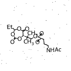 CCC1OC(=O)O[C@H](C(C)(C)COS(=O)(=O)CCCNC(C)=O)C(=O)O1